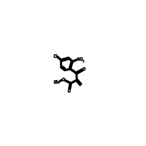 C=C(C(=O)OC(C)(C)C)C(=O)c1ccc(Cl)cc1[N+](=O)[O-]